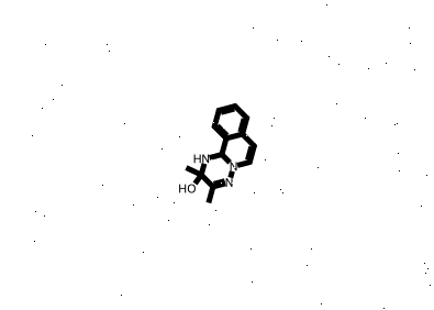 CC1=NN2C=Cc3ccccc3C2NC1(C)O